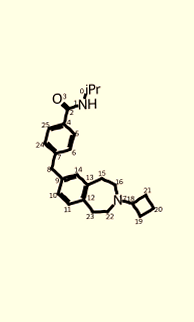 CC(C)NC(=O)c1ccc(Cc2ccc3c(c2)CCN(C2CCC2)CC3)cc1